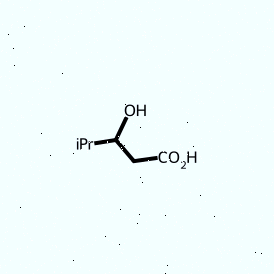 CC(C)C(O)CC(=O)O